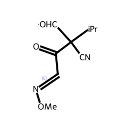 CO/N=C/C(=O)C([C]=O)(C#N)C(C)C